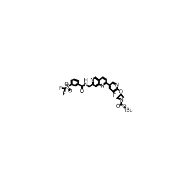 CC(C)(C)OC(=O)N1CC(Oc2ncc(-c3ccc4cnc(CNC(=O)c5cccc(S(=O)(=O)C(F)F)c5)cc4n3)cc2F)C1